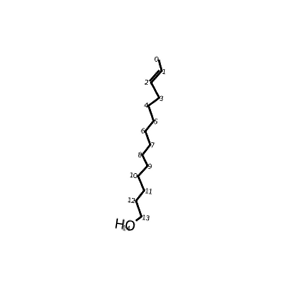 CC=CCCCCCCCCCCCO